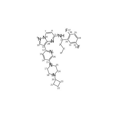 CCCC(Nc1ccn2ncc(-c3ccc(N4CCN(C5CCC5)CC4)cn3)c2n1)c1cc(F)ccc1F